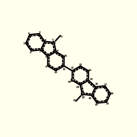 Cn1c2ccccc2c2ccc(-c3ccc4c5ccccc5n(C)c4n3)cc21